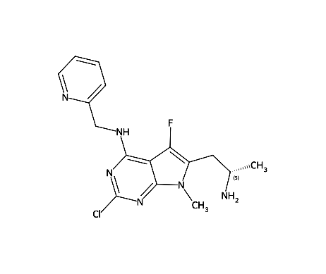 C[C@H](N)Cc1c(F)c2c(NCc3ccccn3)nc(Cl)nc2n1C